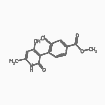 COC(=O)c1ccc(-c2c(O)cc(C)[nH]c2=O)c(Cl)c1